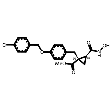 COC(=O)[C@@]1(Cc2ccc(OCc3ccc(Cl)cc3)cc2)C[C@@H]1C(=O)NO